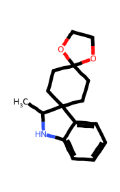 CC1Nc2ccccc2C12CCC1(CC2)OCCO1